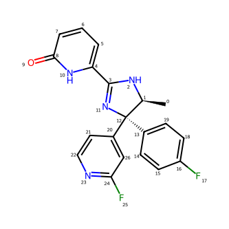 C[C@@H]1NC(c2cccc(=O)[nH]2)=N[C@]1(c1ccc(F)cc1)c1ccnc(F)c1